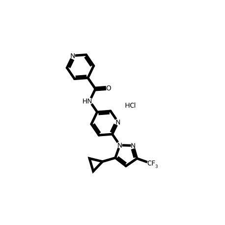 Cl.O=C(Nc1ccc(-n2nc(C(F)(F)F)cc2C2CC2)nc1)c1ccncc1